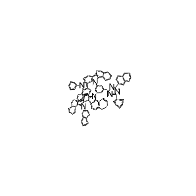 C1=Cc2c(ccc3c4c(ccc5c6ccc7ccccc7c6n(-c6ccc7ccccc7c6)c54)n(-c4cc(-c5nc(-c6ccccc6)nc(-c6ccc7ccccc7c6)n5)cc(-n5c6c7ccccc7ccc6c6ccc7c(c8ccc9ccccc9c8n7-c7ccccc7)c65)c4)c23)CC1